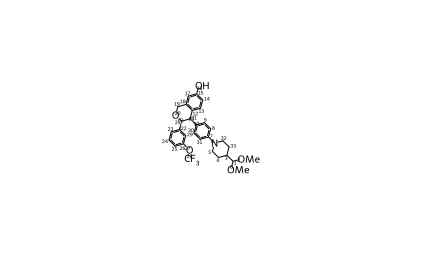 COC(OC)C1CCN(c2ccc([C@@H]3c4ccc(O)cc4CO[C@@H]3c3cccc(OC(F)(F)F)c3)cc2)CC1